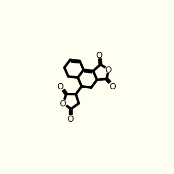 O=C1CC(C2CC3C(=O)OC(=O)C3=C3C=CCCC32)C(=O)O1